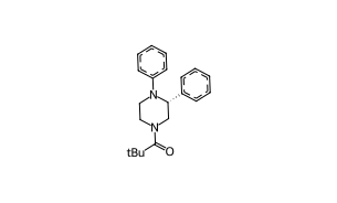 CC(C)(C)C(=O)N1CCN(c2ccccc2)[C@H](c2ccccc2)C1